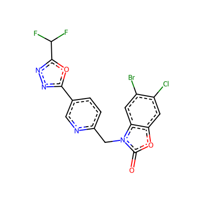 O=c1oc2cc(Cl)c(Br)cc2n1Cc1ccc(-c2nnc(C(F)F)o2)cn1